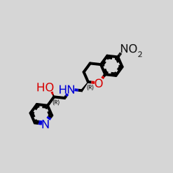 O=[N+]([O-])c1ccc2c(c1)CC[C@H](CNC[C@H](O)c1cccnc1)O2